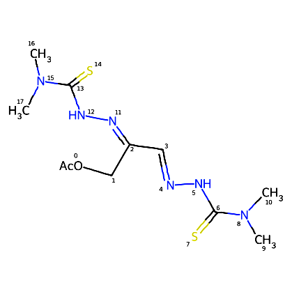 CC(=O)OCC(/C=N/NC(=S)N(C)C)=N\NC(=S)N(C)C